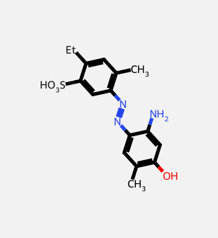 CCc1cc(C)c(/N=N/c2cc(C)c(O)cc2N)cc1S(=O)(=O)O